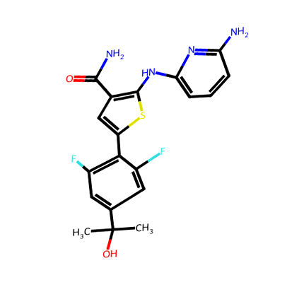 CC(C)(O)c1cc(F)c(-c2cc(C(N)=O)c(Nc3cccc(N)n3)s2)c(F)c1